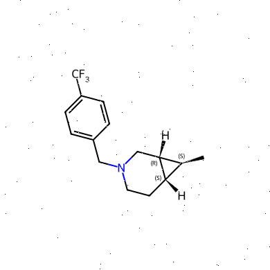 C[C@@H]1[C@H]2CN(Cc3ccc(C(F)(F)F)cc3)CC[C@@H]12